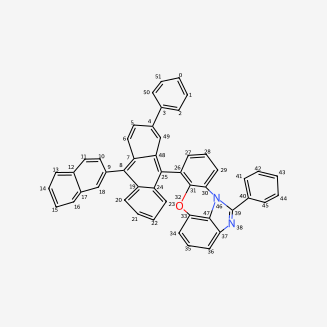 c1ccc(-c2ccc3c(-c4ccc5ccccc5c4)c4ccccc4c(-c4cccc5c4Oc4cccc6nc(-c7ccccc7)n-5c46)c3c2)cc1